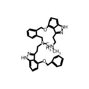 CNCCc1n[nH]c2cccc(OCc3ccccc3CN(C)CCc3n[nH]c4cccc(OCc5ccccc5)c34)c12